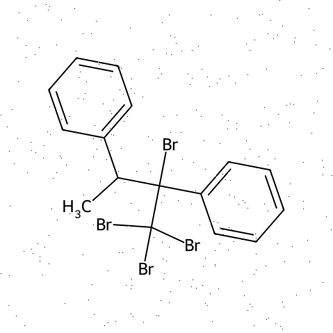 CC(c1ccccc1)C(Br)(c1ccccc1)C(Br)(Br)Br